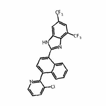 FC(F)(F)c1cc(C(F)(F)F)c2nc(-c3ccc(-c4ncccc4Cl)c4ccccc34)[nH]c2c1